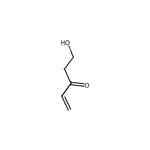 C=CC(=O)[CH]CO